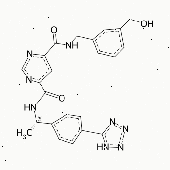 C[C@H](NC(=O)c1cc(C(=O)NCc2cccc(CO)c2)ncn1)c1ccc(-c2nnn[nH]2)cc1